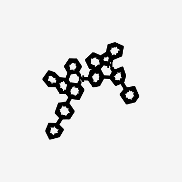 c1ccc(-c2ccc(-c3ccc(N(c4ccc(-c5cc(-c6ccccc6)ccc5-n5c6ccccc6c6ccccc65)cc4)c4ccccc4-c4cccc5ccccc45)cc3)cc2)cc1